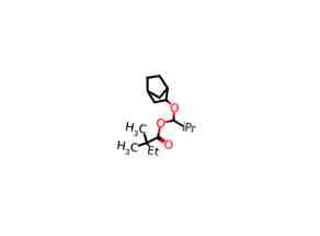 CCC(C)(C)C(=O)OC(OC1CC2CCC1C2)C(C)C